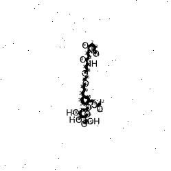 O=C(CCN1C(=O)C=CC1=O)NCCOCCOCCCc1ccc(OC2C[C@@H](O)[C@H](O)[C@@H](C(=O)O)O2)c(COC(=O)I)c1